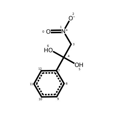 O=[N+]([O-])CC(O)(O)c1ccccc1